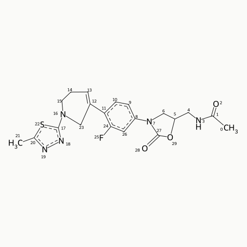 CC(=O)NCC1CN(c2ccc(C3=CCCN(c4nnc(C)s4)C3)c(F)c2)C(=O)O1